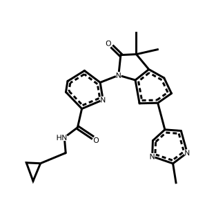 Cc1ncc(-c2ccc3c(c2)N(c2cccc(C(=O)NCC4CC4)n2)C(=O)C3(C)C)cn1